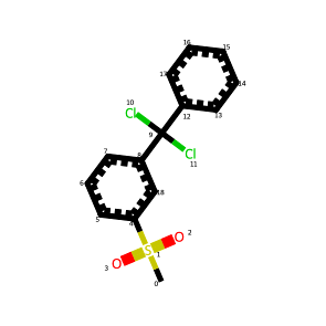 CS(=O)(=O)c1cccc(C(Cl)(Cl)c2ccccc2)c1